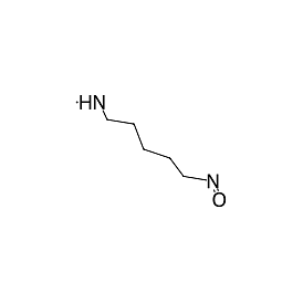 [NH]CCCCCN=O